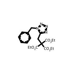 CCOC(=O)C(Cc1nnnn1Cc1ccccc1)(C(=O)OCC)C(=O)OCC